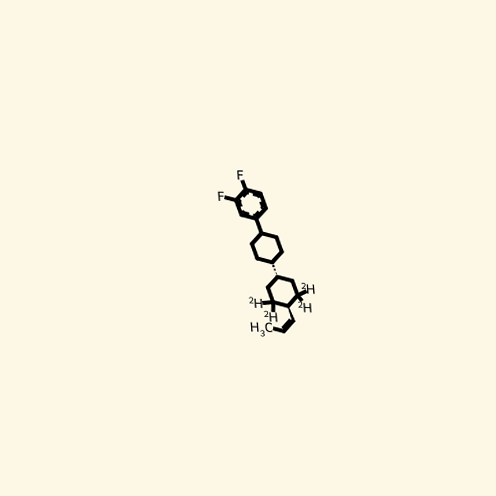 [2H]C1([2H])C[C@H](C2CCC(c3ccc(F)c(F)c3)CC2)CC([2H])([2H])[C@H]1/C=C\C